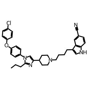 CCCc1nc(C2CCN(CCCCc3c[nH]c4ccc(C#N)cc34)CC2)cn1-c1ccc(Oc2ccc(Cl)cc2)cc1